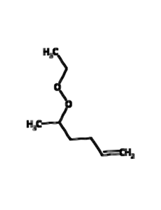 C=CCCC(C)OOCC